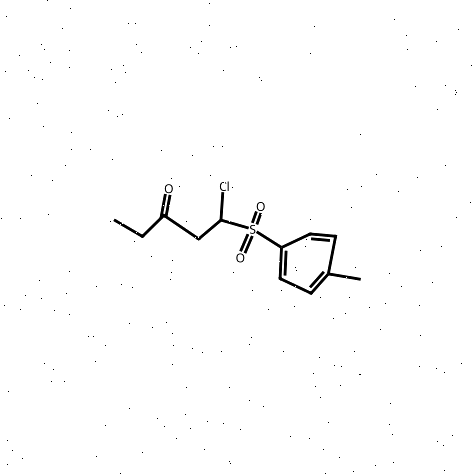 CCC(=O)CC(Cl)S(=O)(=O)c1ccc(C)cc1